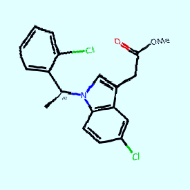 COC(=O)Cc1cn([C@@H](C)c2ccccc2Cl)c2ccc(Cl)cc12